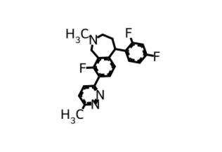 Cc1ccc(-c2ccc3c(c2F)CN(C)CCC3c2ccc(F)cc2F)nn1